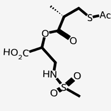 CC(=O)SC[C@@H](C)C(=O)OC(CNS(C)(=O)=O)C(=O)O